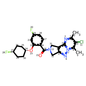 Cc1nc2c3c(nn2c(C)c1Cl)CN(C(=O)c1ccc(F)cc1O[C@H]1CC[C@H](F)CC1)C3